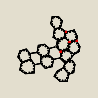 c1ccc2cc(N(c3ccc(-c4cccc5cccc(-c6ccc(N(c7ccc8ccccc8c7)c7cccc8ccccc78)cc6)c45)cc3)c3cccc4ccccc34)ccc2c1